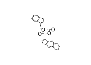 O=[C]OC(C(=O)OCC1=CCc2ccccc21)C1=CCc2cc3ccccc3cc21